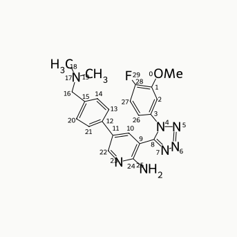 COc1cc(-n2nnnc2-c2cc(-c3ccc(CN(C)C)cc3)cnc2N)ccc1F